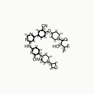 COc1nc(Nc2cc(-c3ccc(OC4CCN(C(=O)[C@@H](O)C(F)F)CC4)c(C#N)c3)ncn2)ccc1N1CCN(C2COC2)CC1